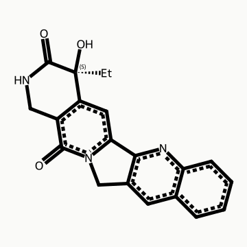 CC[C@@]1(O)C(=O)NCc2c1cc1n(c2=O)Cc2cc3ccccc3nc2-1